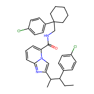 CCC(c1ccc(Cl)cc1)C(C)c1cn2c(C(=O)NCC3(c4ccc(Cl)cc4)CCCCC3)cccc2n1